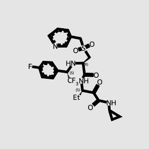 CC[C@H](NC(=O)[C@H](CS(=O)(=O)Cc1cccnc1)N[C@@H](c1ccc(F)cc1)C(F)(F)F)C(=O)C(=O)NC1CC1